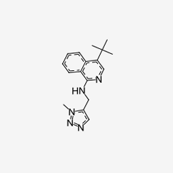 Cn1nncc1CNc1ncc(C(C)(C)C)c2ccccc12